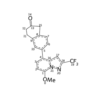 COc1ccc(-c2ccc3c(c2)CCC(=O)C3)c2cc(C(F)(F)F)nn12